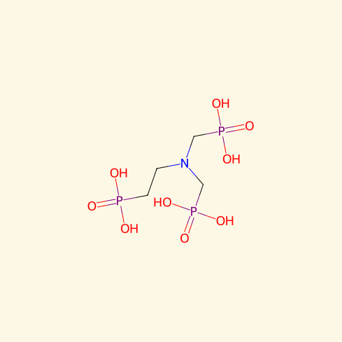 O=P(O)(O)CCN(CP(=O)(O)O)CP(=O)(O)O